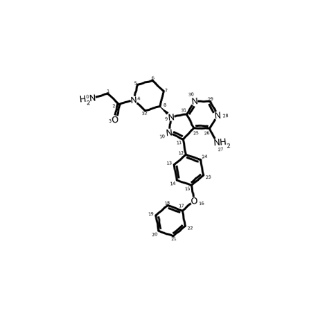 NCC(=O)N1CCC[C@@H](n2nc(-c3ccc(Oc4ccccc4)cc3)c3c(N)ncnc32)C1